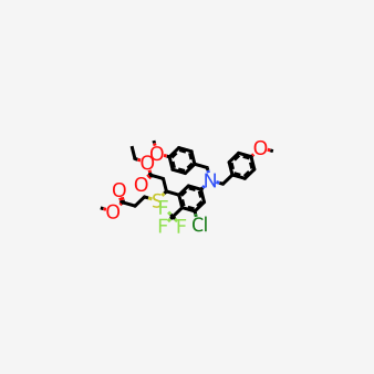 CCOC(=O)CC(SCCC(=O)OC)c1cc(N(Cc2ccc(OC)cc2)Cc2ccc(OC)cc2)cc(Cl)c1C(F)(F)F